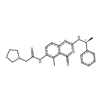 Cc1c(NC(=O)CN2CCCC2)ccc2nc(N[C@@H](C)c3ccccc3)oc(=O)c12